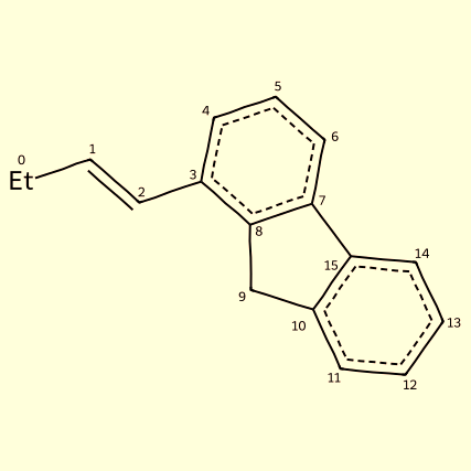 CC/C=C/c1cccc2c1Cc1ccccc1-2